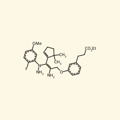 CCOC(=O)CCc1cccc(OC/C(N)=C(\C2=CCCC2(C)C)N(N)c2cc(OC)ccc2F)c1